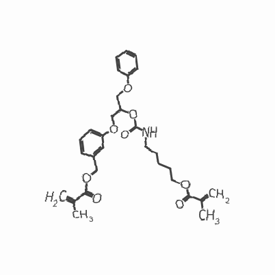 C=C(C)C(=O)OCCCCCNC(=O)OC(COc1ccccc1)COc1cccc(COC(=O)C(=C)C)c1